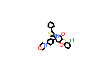 O=C1CC(c2ccc(N3CCOCC3)cc2)(c2csc(-c3ccccc3)c2)NC(=O)C1Sc1ccccc1Cl